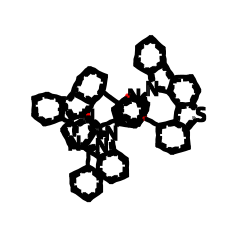 c1ccc(-c2nc(-c3ccccc3)nc(-c3cc(-c4cccc5sc6ccc7c8ccccc8n(-c8ccccc8)c7c6c45)cnc3-c3cccc4sc5ccc6c7ccccc7n(-c7ccccc7)c6c5c34)n2)cc1